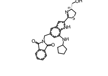 O=C1c2ccccc2C(=O)N1Cc1cc(NC2CCCC2)c2[nH]c(C3=N[C@H](CO)CS3)cc2c1